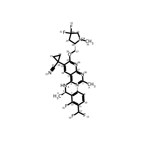 Cc1nc(N[C@H](C)c2cccc(C(F)F)c2F)c2cc(C3(C#N)CC3)c(OC[C@@H]3CC(F)(F)CN3C)nc2n1